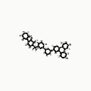 CC1(C)c2cc(-c3cccc(-c4ccc5c(c4)-c4ccccc4C4C=CC=CC54)c3)ccc2Oc2c1ccc1c2sc2ccccc21